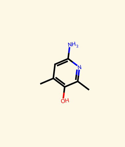 Cc1cc(N)nc(C)c1O